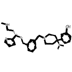 CNCC[C@H](OCc1cccc(CN2CCC(c3cccc(O)c3)(N(C)C)CC2)c1)c1cccs1